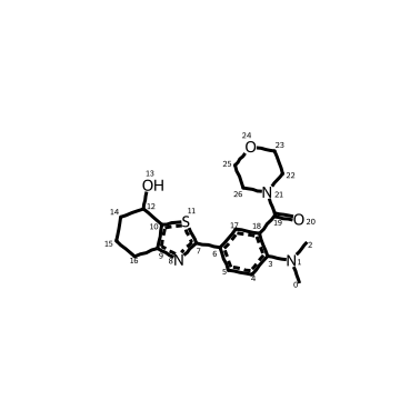 CN(C)c1ccc(-c2nc3c(s2)C(O)CCC3)cc1C(=O)N1CCOCC1